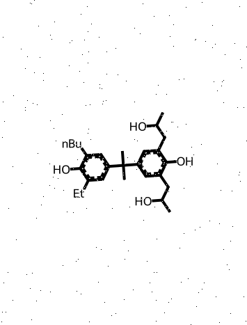 CCCCc1cc(C(C)(C)c2cc(CC(C)O)c(O)c(CC(C)O)c2)cc(CC)c1O